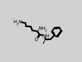 C[C@H](Cc1ccccc1)NC(=O)[C@@H](N)CCCCN